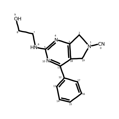 N#CN1Cc2nc(NCCO)nc(-c3ccccc3)c2C1